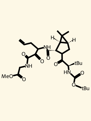 C=CCC(NC(=O)[C@H]1C(C(=O)[C@H](NC(=O)OC(C)(C)C)C(C)(C)C)C[C@H]2[C@@H]1C2(C)C)C(=O)C(=O)NCC(=O)OC